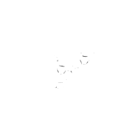 COc1ccc(CNC(=O)c2cc(C#N)ccc2NC2CC[C@@H](O)C2)cc1Cl